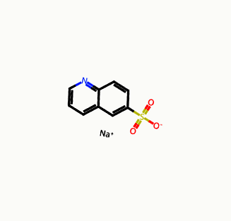 O=S(=O)([O-])c1ccc2ncccc2c1.[Na+]